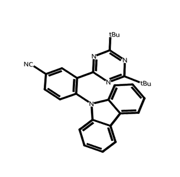 CC(C)(C)c1nc(-c2cc(C#N)ccc2-n2c3ccccc3c3ccccc32)nc(C(C)(C)C)n1